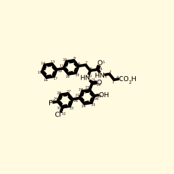 O=C(O)CCNC(=O)C(Cc1ccc(-c2ccccc2)cc1)NC(=O)c1cc(-c2ccc(F)c(Cl)c2)ccc1O